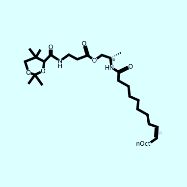 CCCCCCCC/C=C\CCCCCCCC(=O)N[C@@H](C)COC(=O)CCNC(=O)C1OC(C)(C)OCC1(C)C